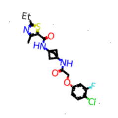 CCc1nc(C)c(C(=O)NC23CC(NC(=O)COc4ccc(Cl)c(F)c4)(C2)C3)s1